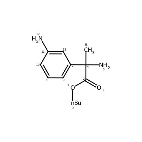 CCCCOC(=O)C(C)(N)c1cccc(N)c1